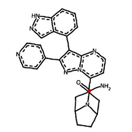 NC(=O)N1C2CCC1CC(c1ccnc3c(-c4cccc5[nH]ncc45)c(-c4ccncc4)nn13)C2